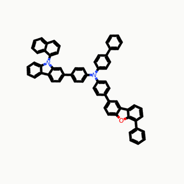 c1ccc(-c2ccc(N(c3ccc(-c4ccc5oc6c(-c7ccccc7)cccc6c5c4)cc3)c3ccc(-c4ccc5c6ccccc6n(-c6cccc7ccccc67)c5c4)cc3)cc2)cc1